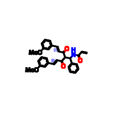 C=CC(=O)NC(c1ccccc1)C(C(=O)/C=C/c1cccc(OC)c1)C(=O)/C=C/c1cccc(OC)c1